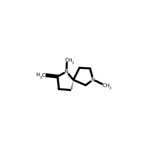 C=C1CC[C@@]2(CCN(C)C2)N1C